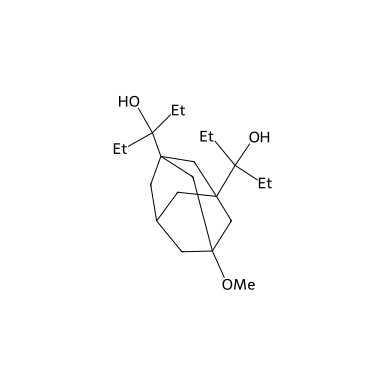 CCC(O)(CC)C12CC3CC(OC)(C1)CC(C(O)(CC)CC)(C3)C2